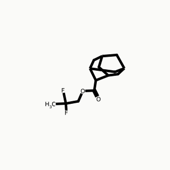 CC(F)(F)COC(=O)C1C2CC3CC(C2)CC1C3